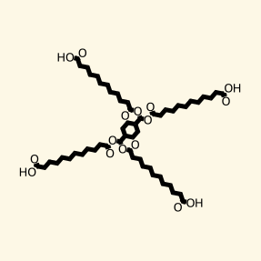 O=C(O)CCCCCCCCCCC(=O)OC(OC(=O)CCCCCCCCCCC(=O)O)C1CCC(C(OC(=O)CCCCCCCCCCC(=O)O)OC(=O)CCCCCCCCCCC(=O)O)CC1